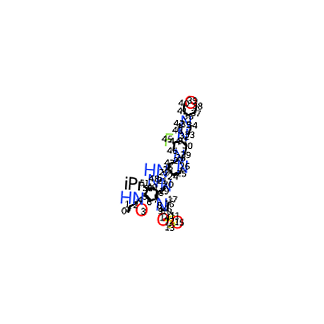 C=CC(=O)Nc1cc(N2C[C@H](CS(C)(=O)=O)[C@H]2C)c2cnc(Nc3ccnc(N4CC[C@@H](N5CCN(C6CCOCC6)CC5)[C@@H](F)C4)c3)nc2c1C(C)C